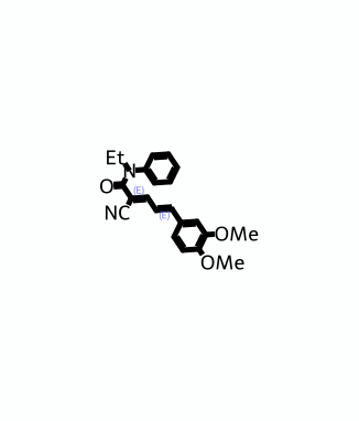 CCN(C(=O)/C(C#N)=C/C=C/c1ccc(OC)c(OC)c1)c1ccccc1